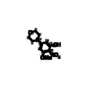 COc1cc(N2CCOCC2)cc(O)c1[N+](=O)[O-]